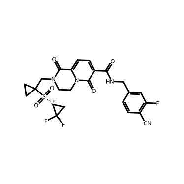 N#Cc1ccc(CNC(=O)c2ccc3n(c2=O)CCN(CC2(S(=O)(=O)[C@@H]4CC4(F)F)CC2)C3=O)cc1F